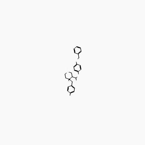 CCC(Oc1ccc(OCc2ccccc2)cc1)C1CNCCC1(O)Cc1ccc(F)cc1